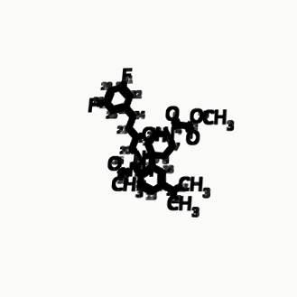 COC(=O)C(=O)N1CCC(c2cccc(C(C)C)c2)(N(CC(O)CCc2cc(F)cc(F)c2)NC(C)=O)CC1